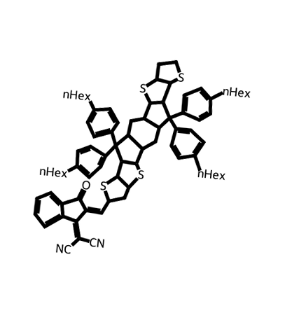 CCCCCCc1ccc(C2(c3ccc(CCCCCC)cc3)C3CC4C5SC6CC(C=C7C(=O)c8ccccc8C7=C(C#N)C#N)SC6C5C(c5ccc(CCCCCC)cc5)(c5ccc(CCCCCC)cc5)C4CC3C3SC4CCSC4C32)cc1